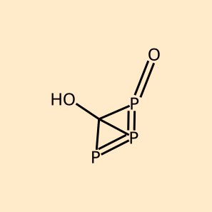 O=P1=P2=PC12O